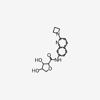 O=C(Nc1ccc2ccc(N3CCC3)nc2c1)C1OCC(O)C1O